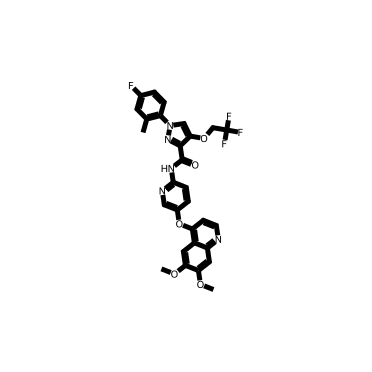 COc1cc2nccc(Oc3ccc(NC(=O)c4nn(-c5ccc(F)cc5C)cc4OCC(F)(F)F)nc3)c2cc1OC